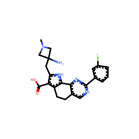 CN1CC(N)(Cc2[nH]c3c(c2C(=O)O)CCc2cnc(-c4cccc(F)c4)nc2-3)C1